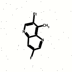 CCc1cnc2cc(F)cnc2c1C